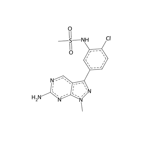 Cn1nc(-c2ccc(Cl)c(NS(C)(=O)=O)c2)c2cnc(N)nc21